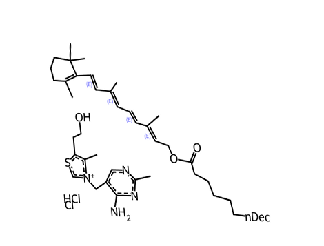 CCCCCCCCCCCCCCCC(=O)OC/C=C(C)/C=C/C=C(C)/C=C/C1=C(C)CCCC1(C)C.Cc1ncc(C[n+]2csc(CCO)c2C)c(N)n1.Cl.[Cl-]